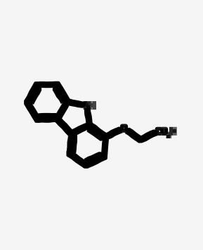 O=C(O)COc1cccc2c1[nH]c1ccccc12